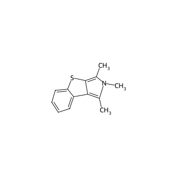 Cc1c2sc3ccccc3c2c(C)n1C